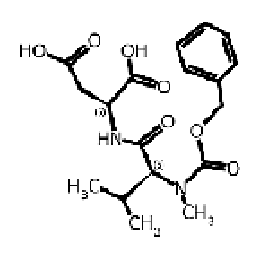 CC(C)[C@@H](C(=O)N[C@@H](CC(=O)O)C(=O)O)N(C)C(=O)OCc1ccccc1